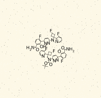 CN(c1ccc(-c2c(F)ccc(C(N)=O)c2O)nn1)[C@]1(c2ncccc2F)C[C@@H](F)C1.COc1c(C(N)=O)ccc(F)c1-c1ccc(N(C[C@]2(c3ncccc3F)C[C@@H](F)C2)C(=O)OC(C)(C)C)nn1